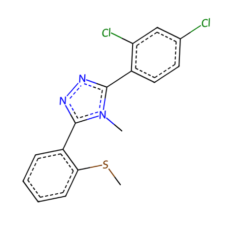 CSc1ccccc1-c1nnc(-c2ccc(Cl)cc2Cl)n1C